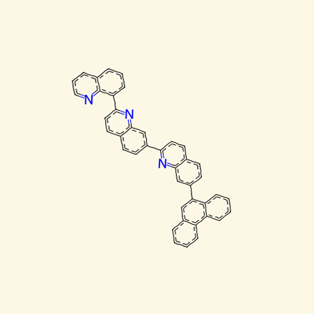 c1cnc2c(-c3ccc4ccc(-c5ccc6ccc(-c7cc8ccccc8c8ccccc78)cc6n5)cc4n3)cccc2c1